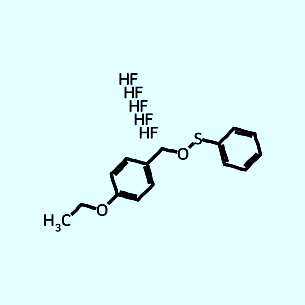 CCOc1ccc(COSc2ccccc2)cc1.F.F.F.F.F